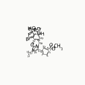 COC(=O)c1cccc(-c2cn(C3CC3)c(=O)n2Cc2ccc(C(F)(F)P(=O)(O)O)c(Br)c2)c1